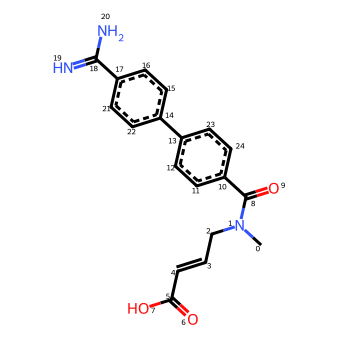 CN(CC=CC(=O)O)C(=O)c1ccc(-c2ccc(C(=N)N)cc2)cc1